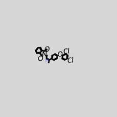 C/C(=C/CN1C(=O)c2ccccc2C1=O)c1ccc(Oc2ccc(Cl)cc2Cl)cc1